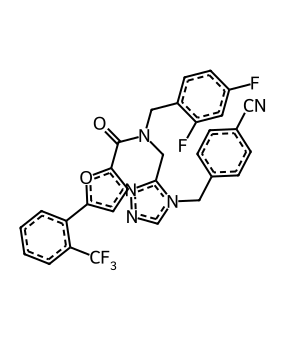 N#Cc1ccc(Cn2cnnc2CN(Cc2ccc(F)cc2F)C(=O)c2ccc(-c3ccccc3C(F)(F)F)o2)cc1